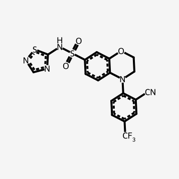 N#Cc1cc(C(F)(F)F)ccc1N1CCOc2cc(S(=O)(=O)Nc3ncns3)ccc21